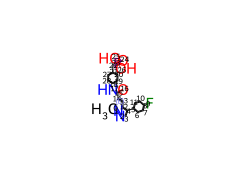 Cn1ncc(-c2ccc(F)cc2)c1/C=C/C(=O)Nc1ccc(CP(=O)(O)O)cc1